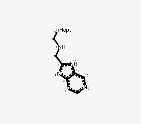 CCCCCCCCNCc1nc2ncncc2[nH]1